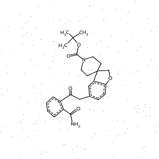 CC(C)(C)OC(=O)N1CCC2(CC1)COc1ccc(CC(=O)c3ccccc3C(N)=O)cc12